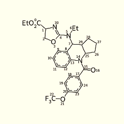 CCOC(=O)C1COC(N(CC)C2c3ccccc3N(C(=O)c3ccc(OC(F)(F)F)cc3)C3CCCC23)=N1